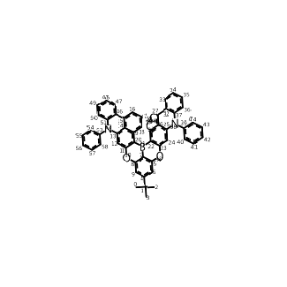 CC(C)(C)c1cc2c3c(c1)Oc1cc4c5c(cccc5c1B3c1c(cc3c5c(cccc15)-c1ccccc1N3c1ccccc1)O2)-c1ccccc1N4c1ccccc1